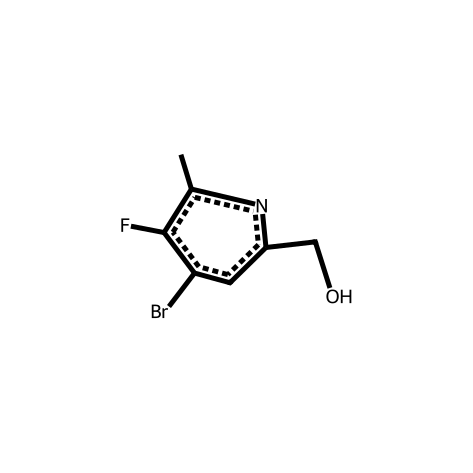 Cc1nc(CO)cc(Br)c1F